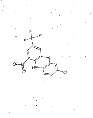 O=[N+]([O-])c1cc(C(F)(F)F)cc2c1Nc1ccc(Cl)cc1S2